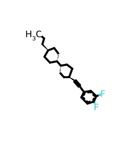 CCC[C@H]1CC[C@H]([C@H]2CC[C@H](C#Cc3ccc(F)c(F)c3)CC2)CC1